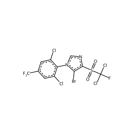 O=S(=O)(c1ncn(-c2c(Cl)cc(C(F)(F)F)cc2Cl)c1Br)C(F)(Cl)Cl